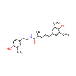 COc1cc(/C=C/C=C(\C#N)C(=O)NCCc2ccc(O)c(C)c2)cc(OC)c1O